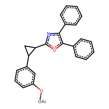 CC(=O)OOc1cccc(C2CC2c2nc(-c3ccccc3)c(-c3ccccc3)o2)c1